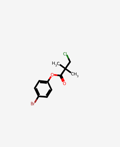 CC(C)(CCl)C(=O)Oc1ccc(Br)cc1